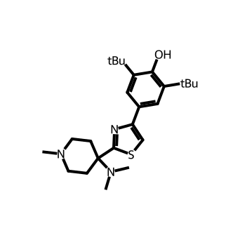 CN1CCC(c2nc(-c3cc(C(C)(C)C)c(O)c(C(C)(C)C)c3)cs2)(N(C)C)CC1